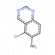 O=[N+]([O-])c1ccc2ncncc2c1Cl